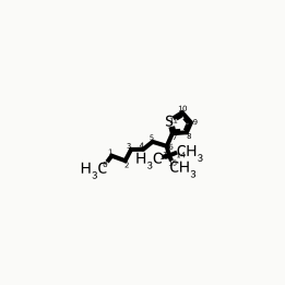 CCCCCCC(c1cccs1)C(C)(C)C